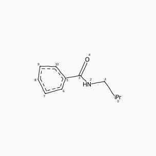 CC(C)[CH]NC(=O)c1ccccc1